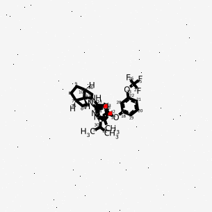 Cc1noc(N2C[C@H]3CC[C@@H](C2)[C@@H]3Nc2nc(Oc3cccc(OC(F)(F)F)c3)n(C(C)C)n2)n1